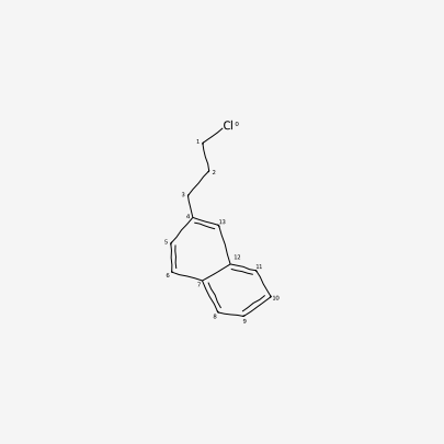 ClCCCc1ccc2ccccc2c1